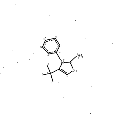 CC(C)(C)C1=CSC(N)N1c1ccccc1